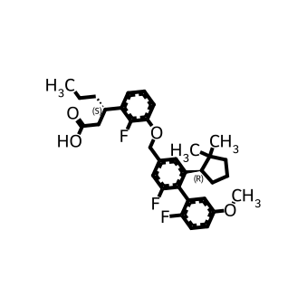 CCC[C@@H](CC(=O)O)c1cccc(OCc2cc(F)c(-c3cc(OC)ccc3F)c([C@@H]3CCCC3(C)C)c2)c1F